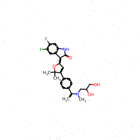 C=C(c1ccc(C2=C/C(=C3\C(=O)Nc4cc(F)c(F)cc43)OC2(C)C)cc1)N(C)CC(O)CO